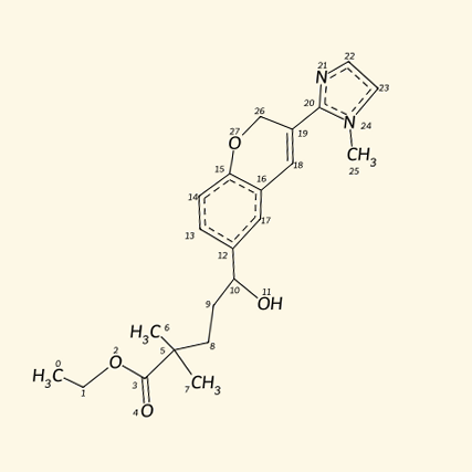 CCOC(=O)C(C)(C)CCC(O)c1ccc2c(c1)C=C(c1nccn1C)CO2